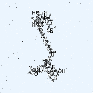 Cc1ncsc1-c1ccc([C@H](C)NC(=O)[C@@H]2C[C@@H](O)CN2C(=O)[C@@H](NC(=O)COCCOCCOCCOCCN(C)CCCNc2nc(N3CCN(C(=O)OC(C)(C)C)CC3)c3cc(Cl)c(-c4cc(O)cc5ccccc45)c(F)c3n2)C(C)(C)C)cc1